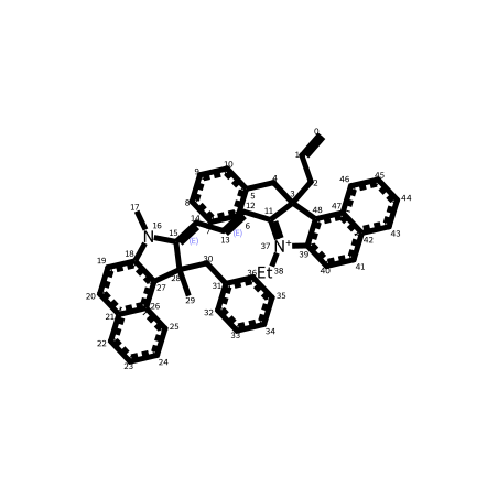 C=CCC1(Cc2ccccc2)C(/C=C/C=C2/N(C)c3ccc4ccccc4c3C2(C)Cc2ccccc2)=[N+](CC)c2ccc3ccccc3c21